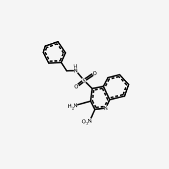 Nc1c([N+](=O)[O-])nc2ccccc2c1S(=O)(=O)NCc1ccccc1